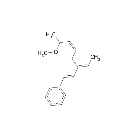 C/C=C(/C=C/c1ccccc1)C/C=C\C(C)OC